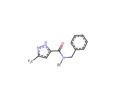 CCN(Cc1ccccc1)C(=O)c1cc(C(F)(F)F)n[nH]1